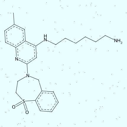 Cc1ccc2nc(N3CCS(=O)(=O)c4ccccc4C3)cc(NCCCCCCN)c2c1